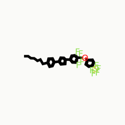 CCCCCCCc1ccc(-c2ccc(-c3cc(F)c(C(F)(F)Oc4ccc(S(F)(F)(F)(F)F)cc4)c(F)c3)cc2)cc1